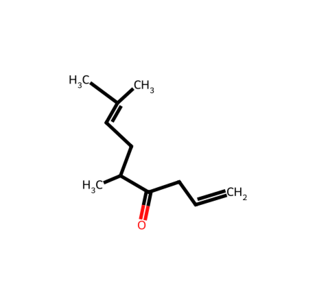 C=CCC(=O)C(C)CC=C(C)C